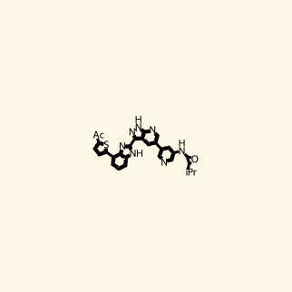 CC(=O)c1ccc(-c2cccc3[nH]c(-c4n[nH]c5ncc(-c6cncc(NC7OC7C(C)C)c6)cc45)nc23)s1